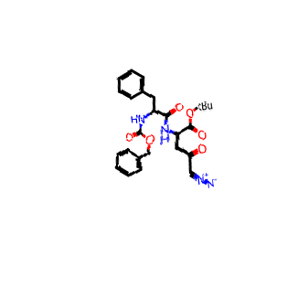 CC(C)(C)OC(=O)C(CC(=O)C=[N+]=[N-])NC(=O)C(Cc1ccccc1)NC(=O)OCc1ccccc1